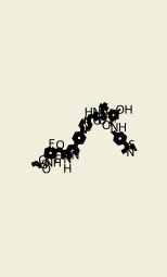 CCCS(=O)(=O)Nc1ccc(F)c(C(=O)c2c[nH]c3ncc(-c4ccc(N5CCN(CC(=O)NC(C(=O)N6C[C@@H](O)C[C@H]6C(=O)NCc6ccc(-c7scnc7C)cc6)C(C)(C)C)CC5)cc4)cc23)c1F